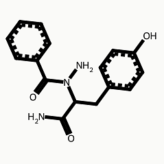 NC(=O)C(Cc1ccc(O)cc1)N(N)C(=O)c1ccccc1